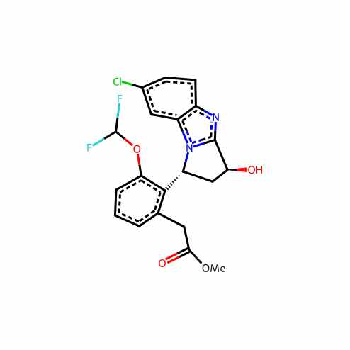 COC(=O)Cc1cccc(OC(F)F)c1[C@H]1C[C@H](O)c2nc3ccc(Cl)cc3n21